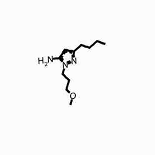 CCCCc1cc(N)n(CCCOC)n1